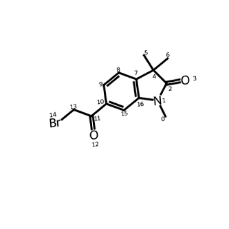 CN1C(=O)C(C)(C)c2ccc(C(=O)CBr)cc21